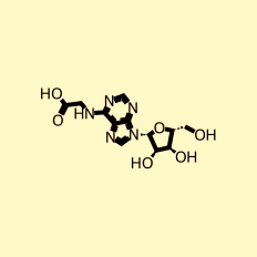 O=C(O)CNc1ncnc2c1ncn2[C@@H]1O[C@H](CO)[C@@H](O)[C@H]1O